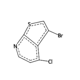 Clc1ccnc2scc(Br)c12